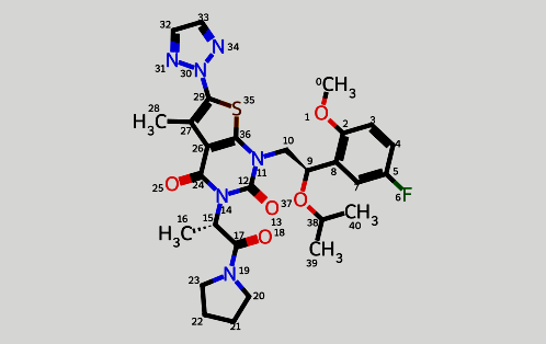 COc1ccc(F)cc1[C@H](Cn1c(=O)n([C@@H](C)C(=O)N2CCCC2)c(=O)c2c(C)c(-n3nccn3)sc21)OC(C)C